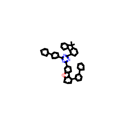 CC1(C)c2ccccc2-c2c(-c3nc(-c4ccc(-c5ccccc5)cc4)nc(-c4ccc5c(c4)oc4cccc(-c6cccc(-c7ccccc7)c6)c45)n3)cccc21